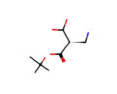 CC(C)(C)OC(=O)[C@H](CN)C(O)O